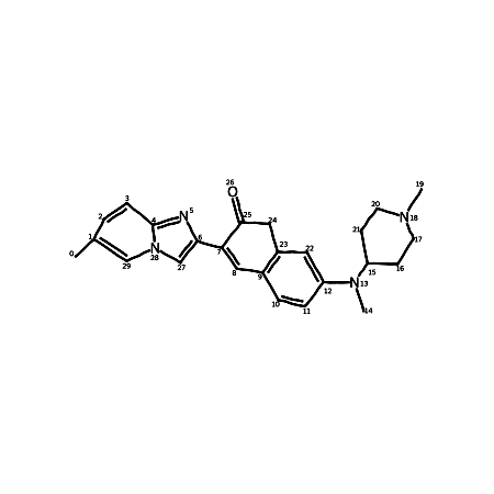 Cc1ccc2nc(C3=Cc4ccc(N(C)C5CCN(C)CC5)cc4CC3=O)cn2c1